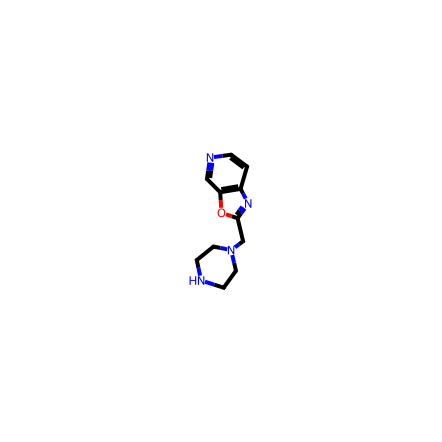 c1cc2nc(CN3CCNCC3)oc2cn1